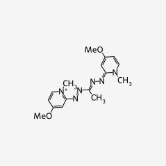 COc1cc[n+](C)c(/N=N/C(C)=N/N=c2\cc(OC)ccn2C)c1